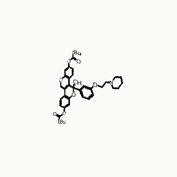 CC(C)(C)C(=O)Oc1ccc2c(c1)OC(C)(c1cccc(OCCN3CCCCC3)c1)C1=C2COc2cc(OC(=O)C(C)(C)C)ccc21